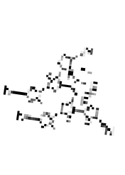 N#Cc1csc(-c2cc(C3=C(c4cc(-c5cc(C#N)cs5)sc4-c4ccc(C#N)s4)C(F)(F)C(F)(F)C3(F)F)c(-c3ccc(C#N)s3)s2)c1